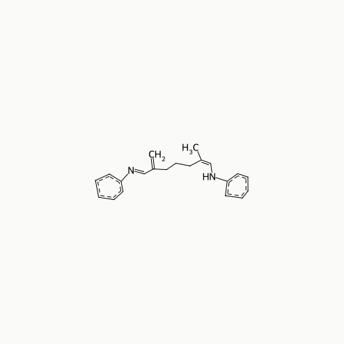 C=C(/C=N/c1ccccc1)CCC/C(C)=C\Nc1ccccc1